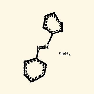 [GeH4].c1ccc(/N=N/c2ccccc2)cc1